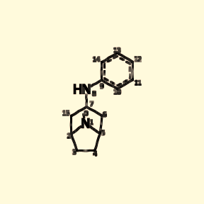 CN1C2CCC1CC(Nc1ccccc1)C2